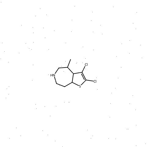 CC1CNCCC2SC(Cl)=C(Cl)C12